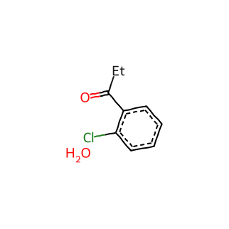 CCC(=O)c1ccccc1Cl.O